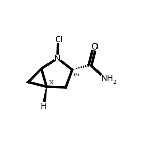 NC(=O)[C@@H]1C[C@@H]2CC2N1Cl